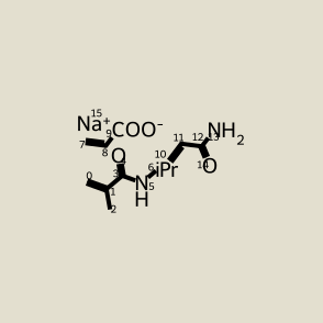 C=C(C)C(=O)NC(C)C.C=CC(=O)[O-].C=CC(N)=O.[Na+]